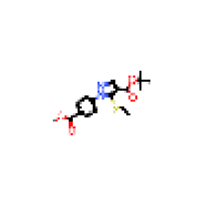 CCSc1c(C(=O)OC(C)(C)C)cnn1-c1ccc(C(=O)OC)cc1